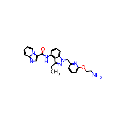 CCc1nn(Cc2cccc(OCCN)n2)c2cccc(NC(=O)c3cnc4ccccn34)c12